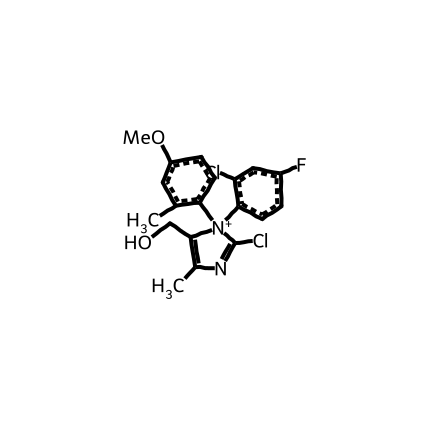 COc1ccc([N+]2(c3ccc(F)cc3Cl)C(Cl)=NC(C)=C2CO)c(C)c1